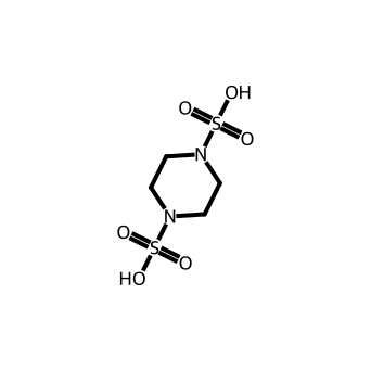 O=S(=O)(O)N1CCN(S(=O)(=O)O)CC1